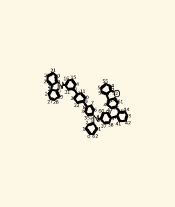 c1ccc(N(c2ccc(-c3ccc(-c4cccc(-n5c6ccccc6c6ccccc65)c4)cc3)cc2)c2ccc(-c3ccccc3-c3ccc4c(c3)oc3ccccc34)cc2)cc1